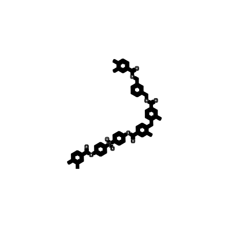 Cc1ccc(C(=O)OCc2cccc(COC(=O)c3ccc(Cc4ccc(C(=O)Oc5ccc(S(=O)(=O)c6ccc(OC(=O)c7ccc(C)c(C)c7)cc6)cc5)cc4C)c(C)c3)c2)cc1C